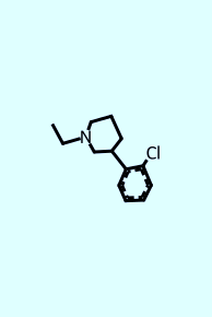 CCN1CCCC(c2ccccc2Cl)C1